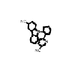 N#Cc1ccc(-c2ccccc2-n2c3c(c4ccccc42)CC(C#N)C=C3)nc1